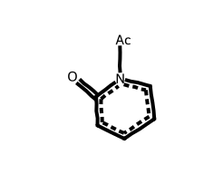 CC(=O)n1ccccc1=O